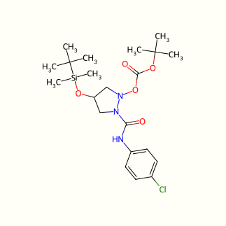 CC(C)(C)OC(=O)ON1CC(O[Si](C)(C)C(C)(C)C)CN1C(=O)Nc1ccc(Cl)cc1